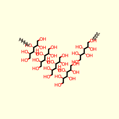 OC[C@@H](O)[C@@H](O)[C@H](O)[C@H](O)CO.OC[C@@H](O)[C@@H](O)[C@H](O)[C@H](O)CO.OC[C@@H](O)[C@@H](O)[C@H](O)[C@H](O)CO.OC[C@@H](O)[C@@H](O)[C@H](O)[C@H](O)CO.OC[C@@H](O)[C@@H](O)[C@H](O)[C@H](O)CO.[Ar].[Ar].[Ar].[Ar].[Ar].[Ar].[Ar]